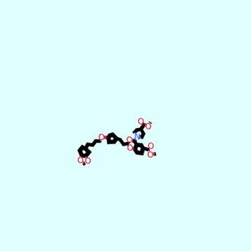 COC(=O)c1ccc(OCCCc2ccc(OCCCCc3ccc4c(c3)OCO4)cc2)c(C(=O)N2CCC(C(=O)OC)CC2)c1